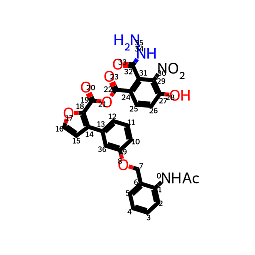 CC(=O)Nc1ccccc1COc1cccc(-c2ccoc2C(=O)OC(=O)c2ccc(O)c([N+](=O)[O-])c2C(=O)NN)c1